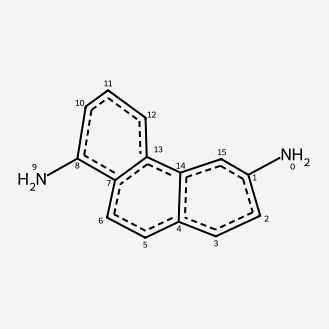 Nc1ccc2ccc3c(N)cccc3c2c1